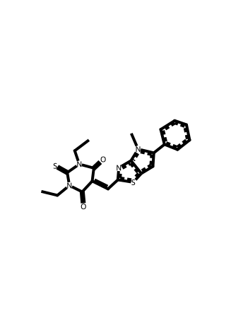 CCN1C(=O)C(=Cc2nc3c(cc(-c4ccccc4)n3C)s2)C(=O)N(CC)C1=S